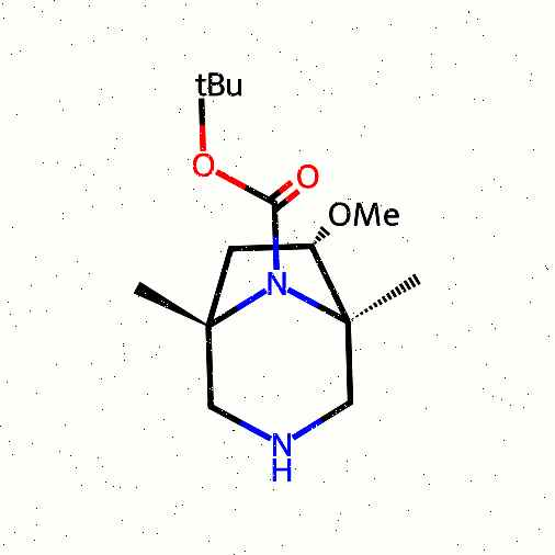 CO[C@H]1C[C@@]2(C)CNC[C@@]1(C)N2C(=O)OC(C)(C)C